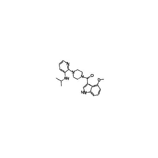 COc1cccc2[nH]cc(C(=O)N3CCN(c4ncccc4NC(C)C)CC3)c12